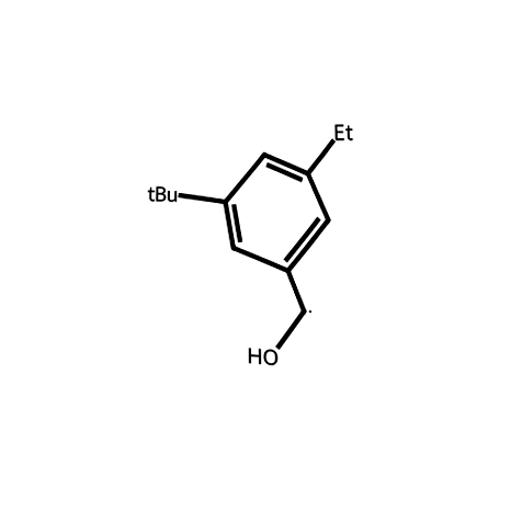 CCc1cc([CH]O)cc(C(C)(C)C)c1